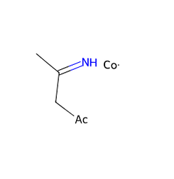 CC(=N)CC(C)=O.[Co]